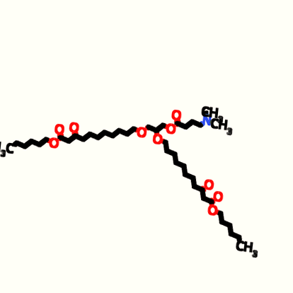 CCCCCCOC(=O)CC(=O)CCCCCCCCOCC(COC(=O)CCCN(C)C)OCCCCCCCCC(=O)CC(=O)OCCCCCC